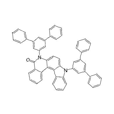 O=c1c2ccccc2c2c3c4ccccc4n(-c4cc(-c5ccccc5)cc(-c5ccccc5)c4)c3ccc2n1-c1cc(-c2ccccc2)cc(-c2ccccc2)c1